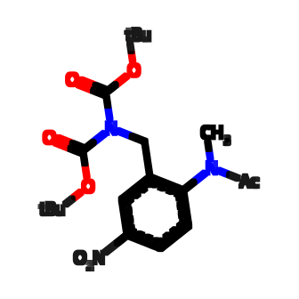 CC(=O)N(C)c1ccc([N+](=O)[O-])cc1CN(C(=O)OC(C)(C)C)C(=O)OC(C)(C)C